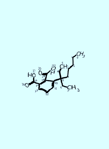 CCCCCC(CC)(CC)c1cccc(C(=O)O)c1C(=O)O